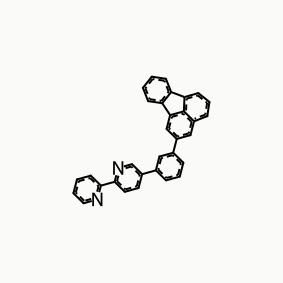 c1ccc(-c2ccc(-c3cccc(-c4cc5c6c(cccc6c4)-c4ccccc4-5)c3)cn2)nc1